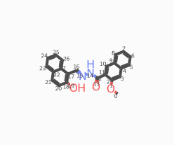 COc1cc2ccccc2cc1C(=O)N/N=C/c1c(O)ccc2ccccc12